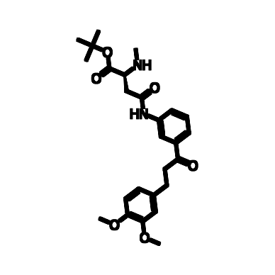 CN[C@@H](CC(=O)Nc1cccc(C(=O)CCc2ccc(OC)c(OC)c2)c1)C(=O)OC(C)(C)C